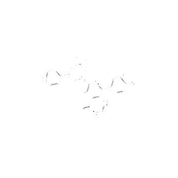 Cc1cc(C2CN(c3cc4c(=O)n(C)c(C)nc4c(-c4ccc(Cl)cc4F)n3)CC(C)(C)O2)ccn1